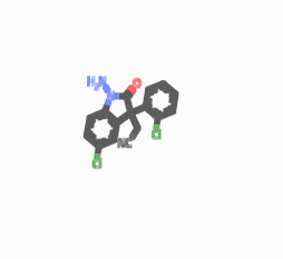 N#CCC1(c2ccccc2Cl)C(=O)N(N)c2ccc(Cl)cc21